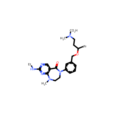 CCNc1ncc2c(n1)N(C)CCN(c1cccc(COC(CCN(C)C(=O)O)C(C)C)c1)C2=O